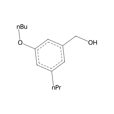 CCCCOc1cc(CO)cc(CCC)c1